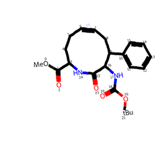 COC(=O)C1CC/C=C\CC(c2ccccc2)C(NC(=O)OC(C)(C)C)C(=O)N1